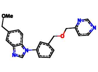 COCc1ccc2c(c1)ncn2-c1cccc(COCc2ccncn2)c1